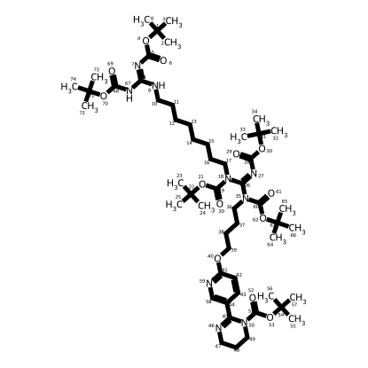 CC(C)(C)OC(=O)/N=C(\NCCCCCCCCN(C(=O)OC(C)(C)C)/C(=N\C(=O)OC(C)(C)C)N(CCCCOc1ccc(C2=NCCCN2C(=O)OC(C)(C)C)cn1)C(=O)OC(C)(C)C)NC(=O)OC(C)(C)C